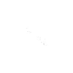 CC(C)(C)OC(=O)N1CCC(COc2ccc(C(O)C(=O)c3ccccc3)cc2)CC1